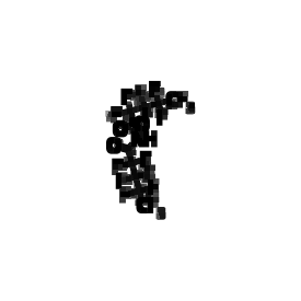 O=C(NS(=O)(=O)C(F)(F)C(F)(F)C(F)(F)C(F)(F)F)C(F)(F)C(F)(F)C(F)(F)C(F)(F)F